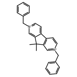 CC1(C)c2c[n+](Cc3ccccc3)ccc2-c2cc[n+](Cc3ccccc3)cc21